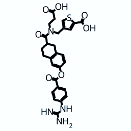 N=C(N)Nc1ccc(C(=O)Oc2ccc3c(c2)CCC(C(=O)N(CCC(=O)O)Cc2csc(C(=O)O)c2)C3)cc1